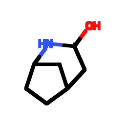 O[C]1CC2CCC(C2)N1